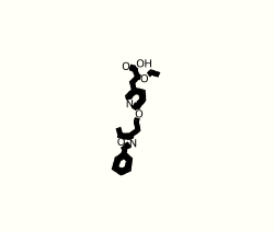 CCOC(Cc1ccc(OCCc2nc(-c3ccccc3)oc2C)nc1)C(=O)O